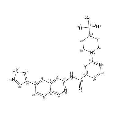 [2H]C([2H])([2H])N1CCN(c2cc(C(=O)Nc3cc4cc(-c5cn[nH]c5)ccc4cn3)ccn2)CC1